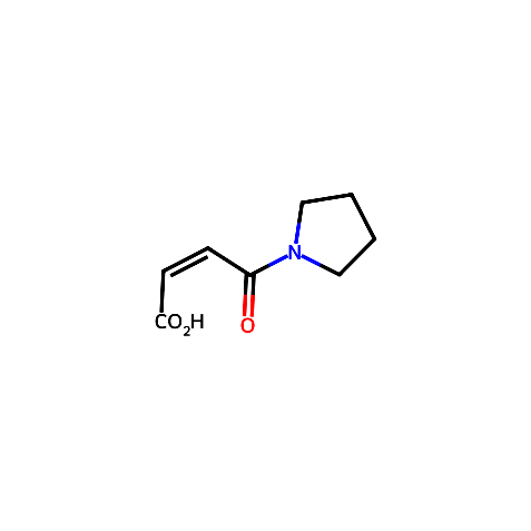 O=C(O)/C=C\C(=O)N1CCCC1